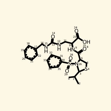 CC(C)C1SCC(C(=O)NC(CNC(=O)NCc2ccccc2)C(=O)O)N1S(=O)(=O)c1ccccc1